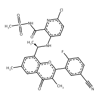 Cc1cc([C@@H](C)Nc2ccc(Cl)nc2C(=O)NS(C)(=O)=O)c2oc(-c3cc(C#N)ccc3F)c(C)c(=O)c2c1